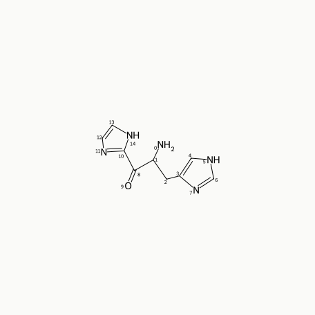 NC(Cc1c[nH]cn1)C(=O)c1ncc[nH]1